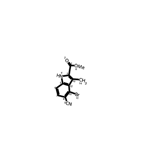 COC(=O)c1[nH]c2ccc(C#N)c(Br)c2c1C